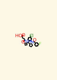 O=C(O)CCC(=O)NC1(C2c3ccc(Cl)cc3N(C(=O)c3cccc(F)c3)C3CCCC32)CCC1